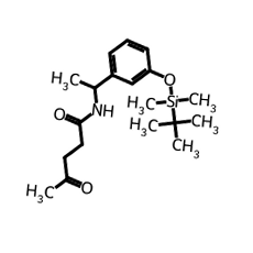 CC(=O)CCC(=O)NC(C)c1cccc(O[Si](C)(C)C(C)(C)C)c1